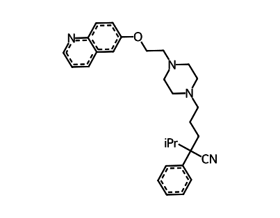 CC(C)C(C#N)(CCCN1CCN(CCOc2ccc3ncccc3c2)CC1)c1ccccc1